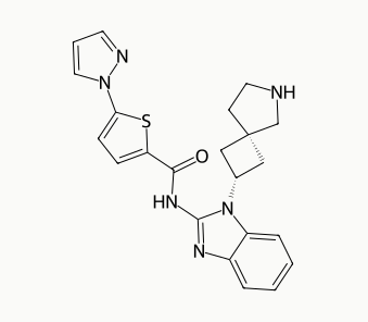 O=C(Nc1nc2ccccc2n1[C@H]1C[C@@]2(CCNC2)C1)c1ccc(-n2cccn2)s1